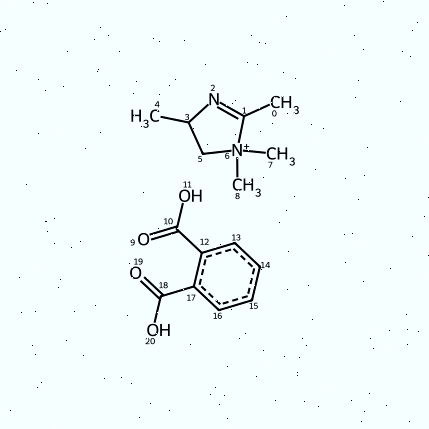 CC1=NC(C)C[N+]1(C)C.O=C(O)c1ccccc1C(=O)O